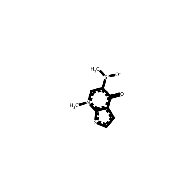 Cn1cc([S+](C)[O-])c(=O)c2ccsc21